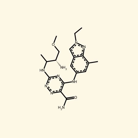 CCn1cc2cc(Nc3nc(NC(C)[C@@H](N)COC)nnc3C(N)=O)cc(C)c2n1